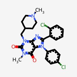 CN1CCC(Cn2c(=O)n(C)c(=O)c3c2nc(-c2ccccc2Cl)n3-c2ccc(Cl)cc2)CC1